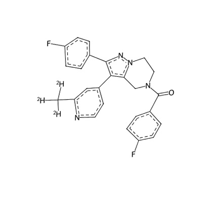 [2H]C([2H])([2H])c1cc(-c2c(-c3ccc(F)cc3)nn3c2CN(C(=O)c2ccc(F)cc2)CC3)ccn1